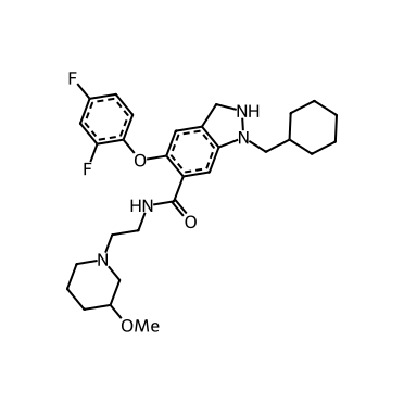 COC1CCCN(CCNC(=O)c2cc3c(cc2Oc2ccc(F)cc2F)CNN3CC2CCCCC2)C1